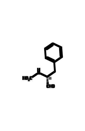 O=C[C@@H](Cc1ccccc1)NC(=O)O